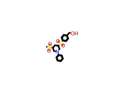 CS(=O)(=O)[C@H]1C[C@@H](S(=O)(=O)c2ccc(CO)cc2)CN(c2ccccc2)C1